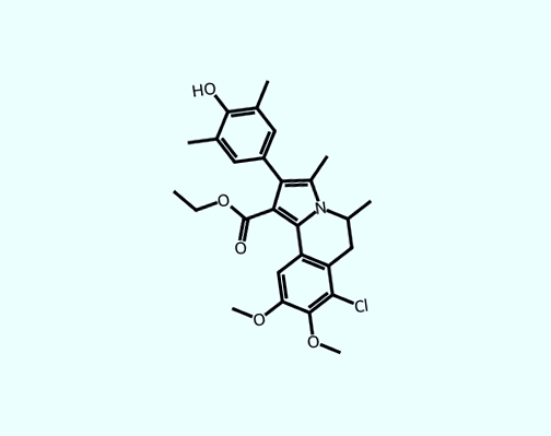 CCOC(=O)c1c(-c2cc(C)c(O)c(C)c2)c(C)n2c1-c1cc(OC)c(OC)c(Cl)c1CC2C